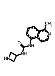 Cc1nccc2c(NC(=O)NC3CNC3)cccc12